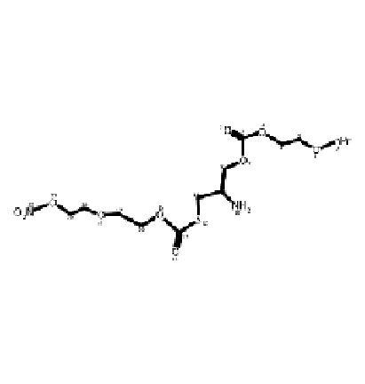 CCCOCCOC(=O)OCC(N)CSC(=O)OCCOCCO[N+](=O)[O-]